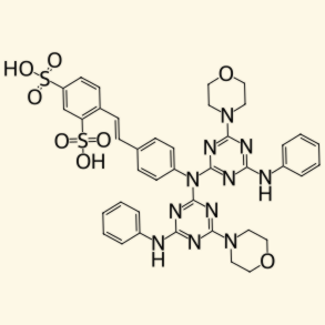 O=S(=O)(O)c1ccc(C=Cc2ccc(N(c3nc(Nc4ccccc4)nc(N4CCOCC4)n3)c3nc(Nc4ccccc4)nc(N4CCOCC4)n3)cc2)c(S(=O)(=O)O)c1